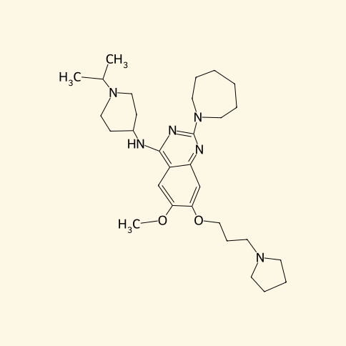 COc1cc2c(NC3CCN(C(C)C)CC3)nc(N3CCCCCC3)nc2cc1OCCCN1CCCC1